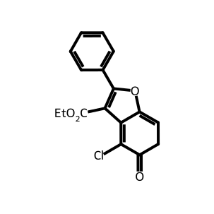 CCOC(=O)c1c(-c2ccccc2)oc2c1=C(Cl)C(=O)CC=2